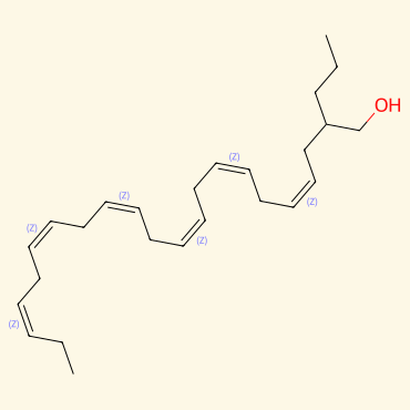 CC/C=C\C/C=C\C/C=C\C/C=C\C/C=C\C/C=C\CC(CO)CCC